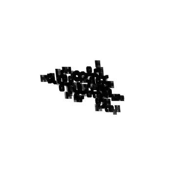 CSCC[C@H](NC(=O)[C@H](C)NC(=O)[C@H](CS)NC(=O)[C@H](Cc1ccccc1)NC(=O)[C@H](CCC(=O)O)NC(=O)[C@H](CS)NC(=O)[C@H](CC(C)C)NC(=O)[C@@H](NC(=O)[C@H](Cc1c[nH]cn1)NC(=O)CN)C(C)C)C(=O)N[C@@H](CC(N)=O)C(=O)N[C@H](C(=O)O)C(C)C